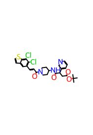 CC(C)(C)OC(=O)CC(C(=O)NC1CCN(C(=O)/C=C/c2cc3ccsc3c(Cl)c2Cl)CC1)c1cccnc1